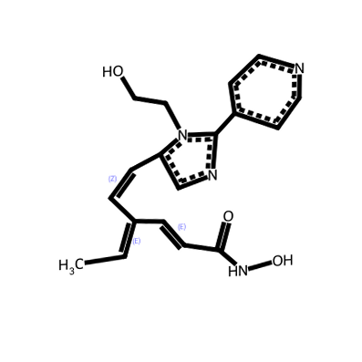 C/C=C(\C=C/c1cnc(-c2ccncc2)n1CCO)/C=C/C(=O)NO